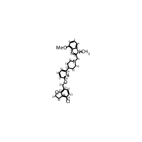 COc1cccc2c1nc(CN1CCC(c3cccc(OCc4ccc(Cl)c5c4OCC5)n3)CC1)n2C